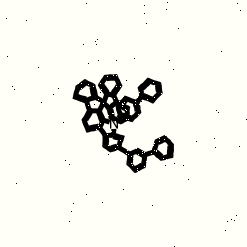 c1ccc(-c2ccc(-n3c4cc(-c5cccc(-c6ccccc6)c5)ccc4c4ccc5c(c43)C3(c4ccccc4-c4ccccc43)c3ccccc3-5)cc2)cc1